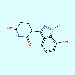 Cn1nc(C2CCC(=O)NC2=O)c2cccc(O)c21